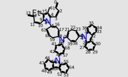 C=C/C=C\c1c(C)c(CC)c(/C=C\C=C)n1C1=CC=C(N(C2=CCC=C(n3c4ccccc4c4ccccc43)C=C2)c2ccc(-n3c4ccccc4c4ccccc43)cc2)CC=C1